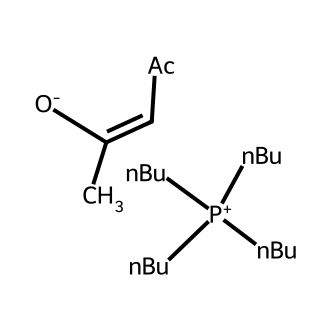 CC(=O)/C=C(/C)[O-].CCCC[P+](CCCC)(CCCC)CCCC